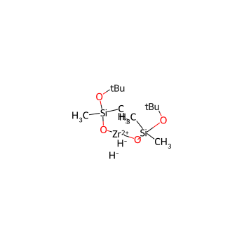 CC(C)(C)O[Si](C)(C)[O][Zr+2][O][Si](C)(C)OC(C)(C)C.[H-].[H-]